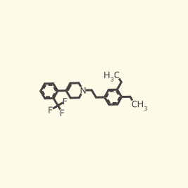 CCc1ccc(CCN2CC=C(c3ccccc3C(F)(F)F)CC2)cc1CC